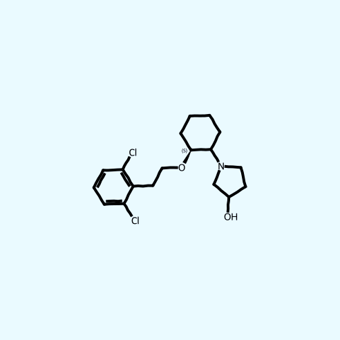 OC1CCN(C2CCCC[C@@H]2OCCc2c(Cl)cccc2Cl)C1